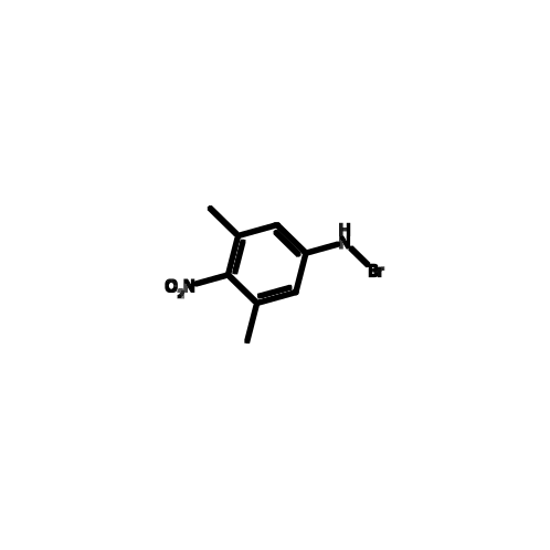 Cc1cc(NBr)cc(C)c1[N+](=O)[O-]